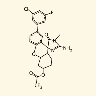 CN1C(=O)C2(N=C1N)c1cc(-c3cc(F)cc(Cl)c3)ccc1OC1CC(OC(=O)C(F)(F)F)CCC12